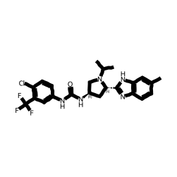 Cc1ccc2nc([C@@H]3C[C@@H](NC(=O)Nc4ccc(Cl)c(C(F)(F)F)c4)CN3C(C)C)[nH]c2c1